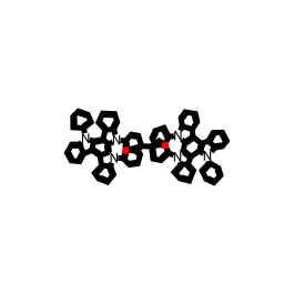 C1=CC2c3c(c4c(c5ccccc5n4-c4ccc(-c5ccc(-n6c7ccccc7c7c8c(c9ccccc9n8-c8ccccc8)c8c9ccccc9n(-c9ccccc9)c8c76)cc5)cc4)c4c3c3ccccc3n4-c3ccccc3)N(c3ccccc3)C2C=C1